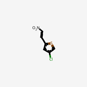 O=[N+]([O-])C=Cc1cc(Cl)cs1